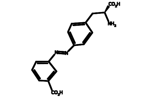 N[C@@H](Cc1ccc(N=Nc2cccc(C(=O)O)c2)cc1)C(=O)O